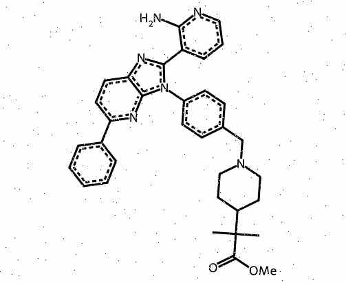 COC(=O)C(C)(C)C1CCN(Cc2ccc(-n3c(-c4cccnc4N)nc4ccc(-c5ccccc5)nc43)cc2)CC1